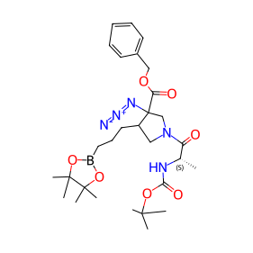 C[C@H](NC(=O)OC(C)(C)C)C(=O)N1CC(CCCB2OC(C)(C)C(C)(C)O2)C(N=[N+]=[N-])(C(=O)OCc2ccccc2)C1